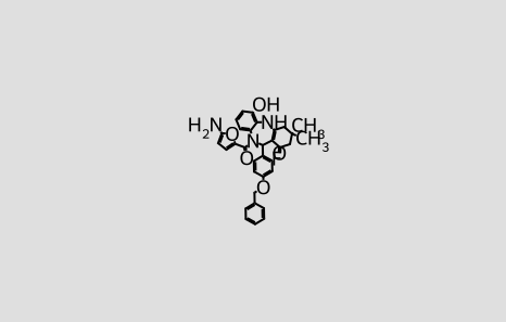 CC1(C)CC(=O)C2=C(C1)Nc1c(O)cccc1N(C(=O)c1ccc(N)o1)C2c1ccc(OCc2ccccc2)cc1F